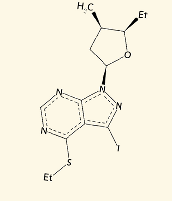 CCSc1ncnc2c1c(I)nn2[C@H]1C[C@@H](C)[C@@H](CC)O1